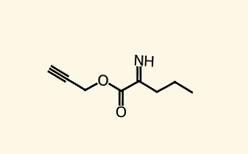 C#CCOC(=O)C(=N)CCC